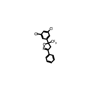 FC(F)(F)C1(c2cc(Cl)cc(Cl)c2)CC(c2cc[c]cc2)=NO1